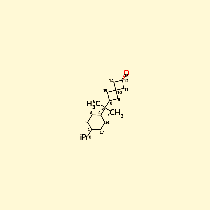 CC(C)C1CCC(C(C)(C)C2CC3(CC(=O)C3)C2)CC1